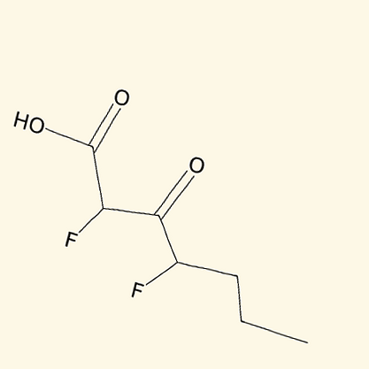 CCCC(F)C(=O)C(F)C(=O)O